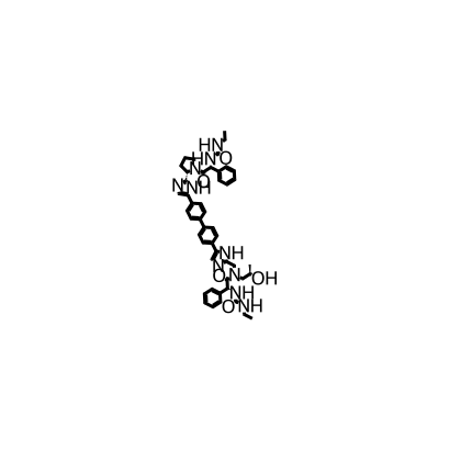 CCNC(=O)N[C@@H](C(=O)N(Cc1ncc(-c2ccc(-c3ccc(-c4cnc([C@@H]5CCCN5C(=O)[C@H](NC(=O)NCC)c5ccccc5)[nH]4)cc3)cc2)[nH]1)C[C@@H](C)O)c1ccccc1